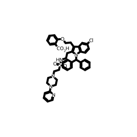 O=C(O)c1ccccc1OCCc1c(CCNS(=O)(=O)CCN2CCN(c3ccccn3)CC2)n(C(c2ccccc2)c2ccccc2)c2ccc(Cl)cc12